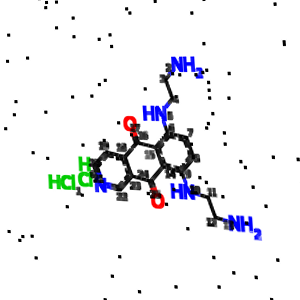 Cl.Cl.NCCNc1ccc(NCCN)c2c1C(=O)c1ccncc1C2=O